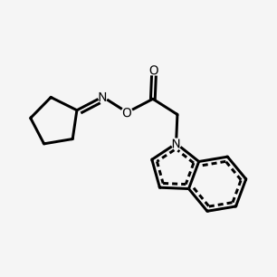 O=C(Cn1ccc2ccccc21)ON=C1CCCC1